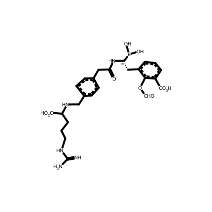 N=C(N)NCCCC(NCc1ccc(CC(=O)N[C@@H](Cc2cccc(C(=O)O)c2OC=O)B(O)O)cc1)C(=O)O